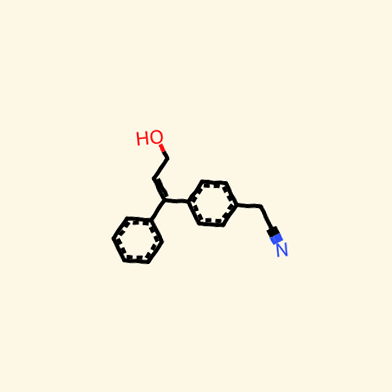 N#CCc1ccc(/C(=C\CO)c2ccccc2)cc1